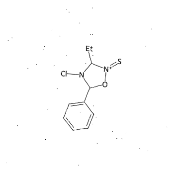 CCC1N(Cl)C(c2ccccc2)O[N+]1=S